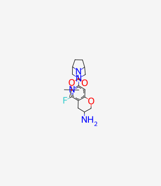 CC(C)(C)OC(=O)N1C2CCC1CN(c1cc3c(c(F)n1)CC(N)CO3)C2